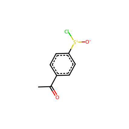 CC(=O)c1ccc([S+]([O-])Cl)cc1